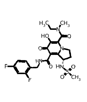 CCN(C)C(=O)c1c(O)c(=O)c(C(=O)NCc2ccc(F)cc2F)c2n1CC[C@@H]2NS(C)(=O)=O